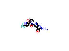 Nc1nc2cnc(C(=O)N3CCC[C@@H]4Oc5nc(C(F)(F)F)ccc5[C@@H]43)cc2c2c1COC2